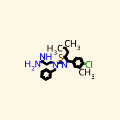 Cc1cc(-c2nc(N(CCC(=N)N)Cc3ccccc3)sc2CC(C)C)ccc1Cl